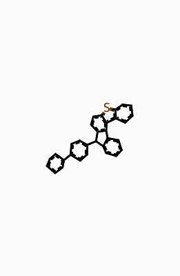 c1ccc(-c2ccc(C3c4ccccc4-c4c3ccc3sc5ccccc5c43)cc2)cc1